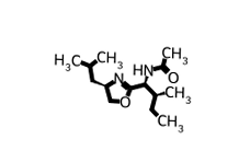 CC[C@H](C)[C@H](NC(C)=O)C1=N[C@H](CC(C)C)CO1